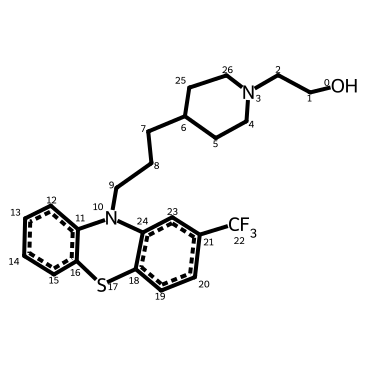 OCCN1CCC(CCCN2c3ccccc3Sc3ccc(C(F)(F)F)cc32)CC1